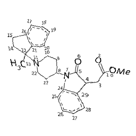 COC(=O)CC1C(=O)N(C2CCN(C3(C)CCc4ccccc43)CC2)c2ccccc21